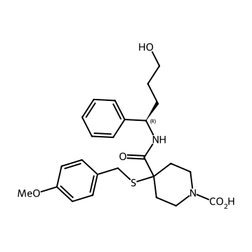 COc1ccc(CSC2(C(=O)N[C@H](CCCO)c3ccccc3)CCN(C(=O)O)CC2)cc1